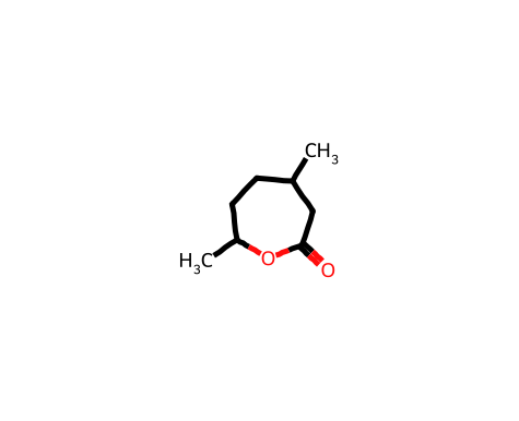 CC1CCC(C)OC(=O)C1